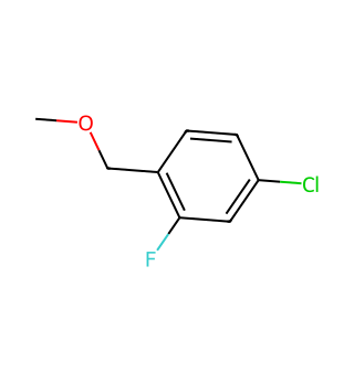 COCc1ccc(Cl)cc1F